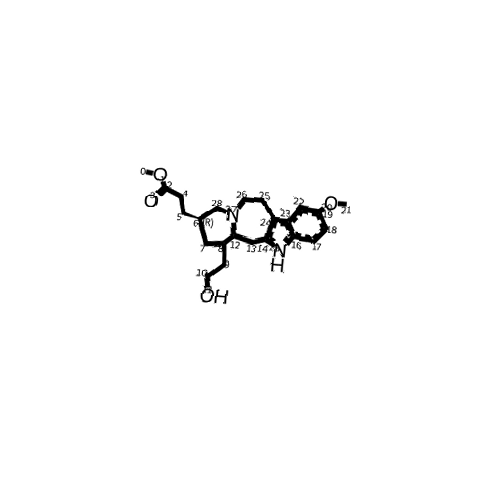 COC(=O)CC[C@@H]1CC(CCO)C2Cc3[nH]c4ccc(OC)cc4c3CCN2C1